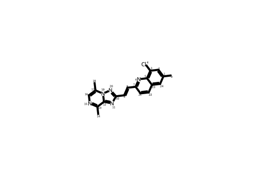 Cc1cc(Cl)c2nc(/C=C/c3nc4c(C)ncc(C)n4n3)ccc2c1